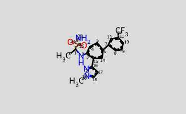 CC(Nc1ccc(-c2cccc(C(F)(F)F)c2)cc1-c1ccn(C)n1)S(N)(=O)=O